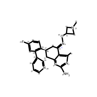 Cc1nc(N)nc2c1/C(=N/OC1CN(C)C1)C[C@H](c1ccc(F)cc1-c1cccnc1)C2